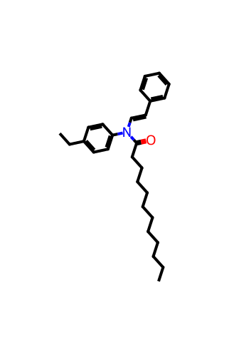 CCCCCCCCCCCC(=O)N(/C=C/c1ccccc1)c1ccc(CC)cc1